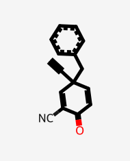 C#CC1(Cc2ccccc2)C=CC(=O)C(C#N)=C1